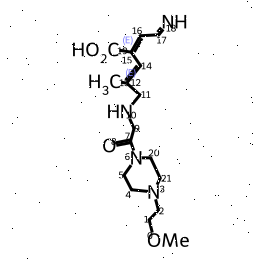 COCCN1CCN(C(=O)CNC/C(C)=C/C(=C\C=N)C(=O)O)CC1